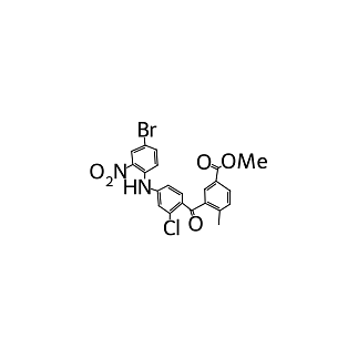 COC(=O)c1ccc(C)c(C(=O)c2ccc(Nc3ccc(Br)cc3[N+](=O)[O-])cc2Cl)c1